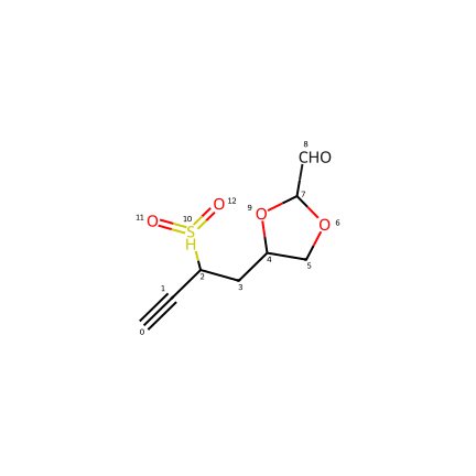 C#CC(CC1COC(C=O)O1)[SH](=O)=O